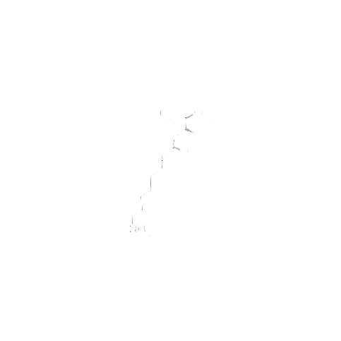 C=C(C)C(=O)OC(=O)CCCCCCCN